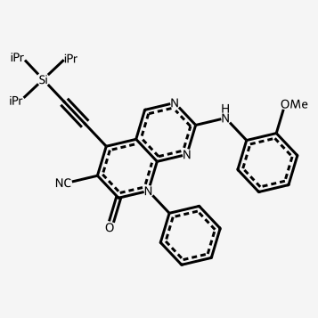 COc1ccccc1Nc1ncc2c(C#C[Si](C(C)C)(C(C)C)C(C)C)c(C#N)c(=O)n(-c3ccccc3)c2n1